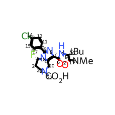 CNC(=O)[C@@H](NC(=O)c1nc(-c2ccc(Cl)cc2F)n2c1CN(C(=O)O)CCC2)C(C)(C)C